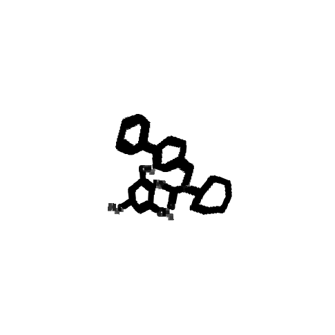 Cc1cc(C)c(NC(=O)N(Cc2ccc(-c3ccccc3)cc2)C2CCCCCC2)c(C)c1